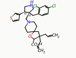 C=CCC1(CC=C)CC2(CCN(C[C@]3(Cc4ccc(Cl)cc4Cl)CNC[C@@H]3c3ccsc3)CC2)OC1C(=O)O